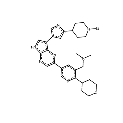 CCN1CCC(n2cc(-c3c[nH]c4ncc(-c5cnc(C6CCOCC6)c(CN(C)C)c5)nc34)cn2)CC1